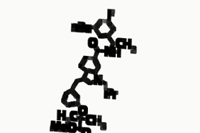 CCCCc1cc(F)cc([C@H](C)NC(=O)c2ccc3c(Cc4cccc(OC(C)(C)C(=O)OC)c4)cn(CC(C)C)c3c2)c1